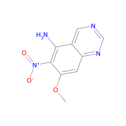 COc1cc2ncncc2c(N)c1[N+](=O)[O-]